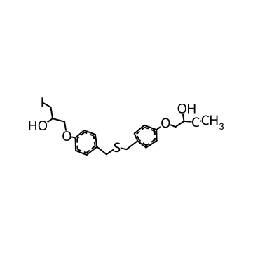 CCC(O)COc1ccc(CSCc2ccc(OCC(O)CI)cc2)cc1